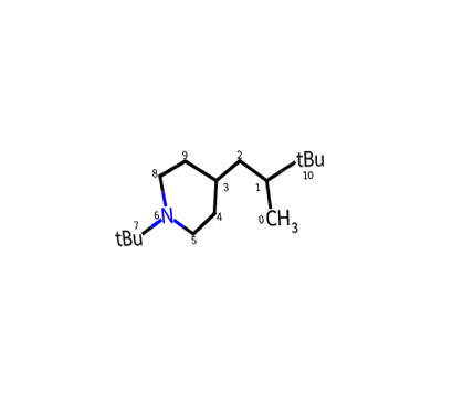 CC(CC1CCN(C(C)(C)C)CC1)C(C)(C)C